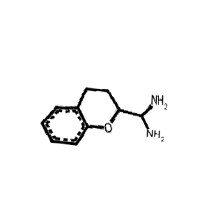 NC(N)C1CCc2ccccc2O1